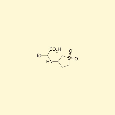 CCC(NC1CCS(=O)(=O)C1)C(=O)O